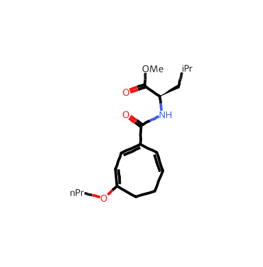 CCCO/C1=C/C=C(C(=O)N[C@H](CC(C)C)C(=O)OC)\C=C/CC1